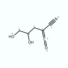 N#CC(=C=O)CC(O)CO